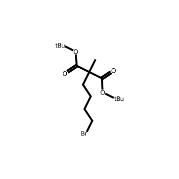 CC(C)(C)OC(=O)C(C)(CCCCBr)C(=O)OC(C)(C)C